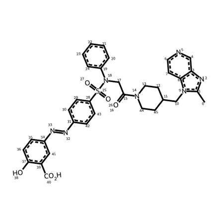 Cc1nc2cnccc2n1CC1CCN(C(=O)CN(c2ccccc2)S(=O)(=O)c2ccc(N=Nc3ccc(O)c(C(=O)O)c3)cc2)CC1